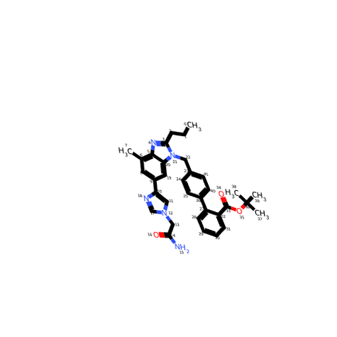 CCCc1nc2c(C)cc(-c3cn(CC(N)=O)cn3)cc2n1Cc1ccc(-c2ccccc2C(=O)OC(C)(C)C)cc1